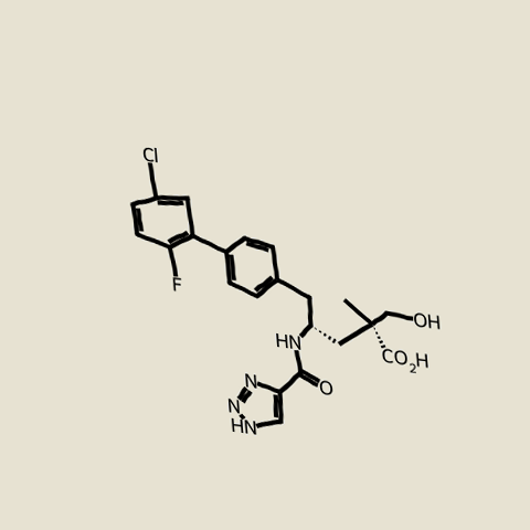 C[C@@](CO)(C[C@@H](Cc1ccc(-c2cc(Cl)ccc2F)cc1)NC(=O)c1c[nH]nn1)C(=O)O